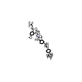 COc1ccc(COCC(F)(F)F)c(N2C(=O)CS/C2=N\C(=O)Nc2ccc(-c3ncn(-c4ccc(S(=O)(=O)C(F)(F)F)cc4)n3)cc2F)c1